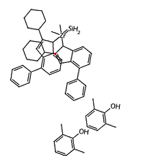 Cc1cccc(C)c1O.Cc1cccc(C)c1O.[CH3][Zr]([CH3])(=[SiH2])([CH]1C(C2CCCCC2)=Cc2c(-c3ccccc3)cccc21)[CH]1C(C2CCCCC2)=Cc2c(-c3ccccc3)cccc21